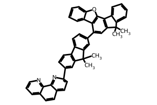 CC1(C)c2cc(-c3ccc4ccc5cccnc5c4n3)ccc2-c2ccc(-c3cc4c(c5oc6ccccc6c35)-c3ccccc3C4(C)C)cc21